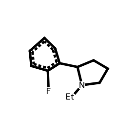 CCN1CCCC1c1ccccc1F